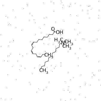 CC/C=C\C/C=C\C/C=C\CCCCCCCC(=O)O.CCCCCCCCCCCC[N+](C)(C)C